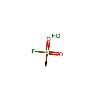 CS(=O)(=O)F.Cl